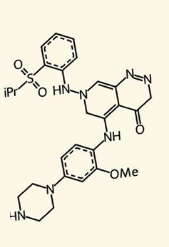 COc1cc(N2CCNCC2)ccc1NC1=C2C(=O)CN=NC2=CN(Nc2ccccc2S(=O)(=O)C(C)C)C1